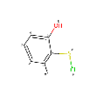 Cc1cccc(O)c1SCl